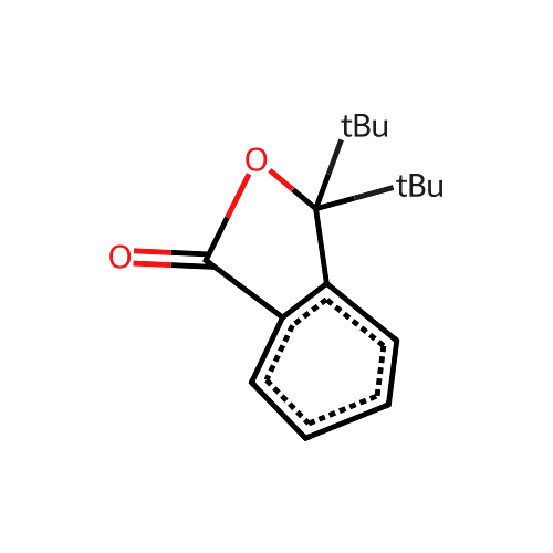 CC(C)(C)C1(C(C)(C)C)OC(=O)c2ccccc21